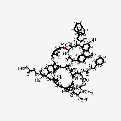 CC(C)C[C@H](C(=O)N[C@H]1C(=O)C[C@@H](CC(=O)NC(=O)NCc2ccccc2)C(=O)N[C@H]2C(=O)C[C@H]3C(=O)N[C@H](C(=O)N[C@H](C(=O)CC4C5CC6CC(C5)CC4C6)c4cc(O)cc(O)c4-c4cc3ccc4O)[C@H](O)c3ccc(c(Cl)c3)Oc3cc2cc(c3O[C@@H]2O[C@H](CCC(=O)OC(C)(C)C)[C@@H](O)[C@H](O)[C@H]2O)Oc2ccc(cc2Cl)[C@H]1O)N(C)C(=O)OC(C)(C)C